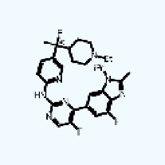 CCN1CCC([C@@](C)(F)c2ccc(Nc3ncc(F)c(-c4cc(F)c5nc(C)n(C(C)C)c5c4)n3)nc2)CC1